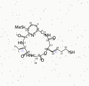 C/C=C1\NC(=O)c2nc(ccc2SC)CNC(=O)C[C@@H](/C=C/CCS)OC(=O)[C@H](C)NC1=O